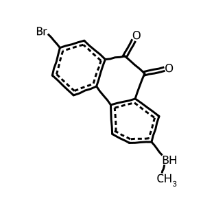 CBc1ccc2c(c1)C(=O)C(=O)c1cc(Br)ccc1-2